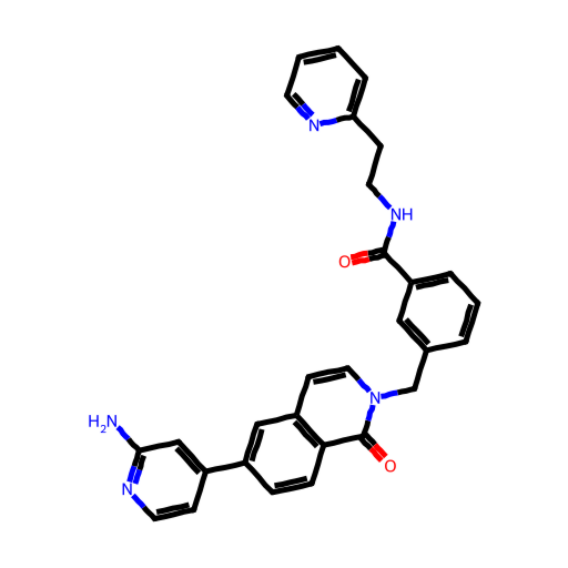 Nc1cc(-c2ccc3c(=O)n(Cc4cccc(C(=O)NCCc5ccccn5)c4)ccc3c2)ccn1